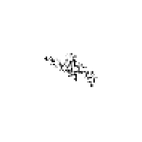 CN1CCN(c2ccc(N(C)NC(=N)c3nc(OCc4cc(F)ccc4F)ccc3N)c(NC3CCOCC3)c2)CC1